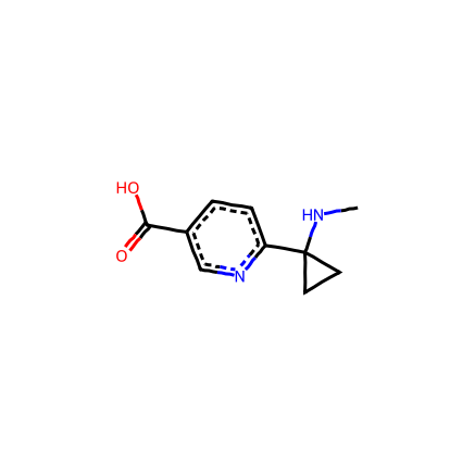 CNC1(c2ccc(C(=O)O)cn2)CC1